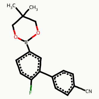 CC1(C)COB(c2ccc(F)c(-c3ccc(C#N)cc3)c2)OC1